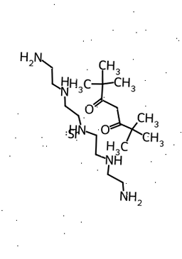 CC(C)(C)C(=O)CC(=O)C(C)(C)C.NCCNCCNCCNCCN.[Sr]